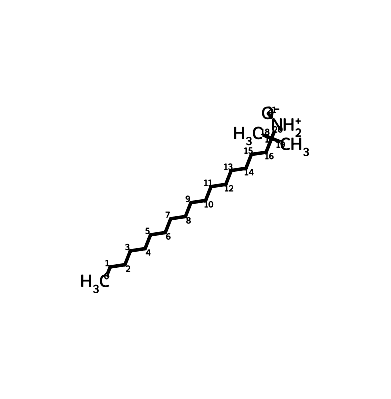 CCCCCCCCCCCCCCCCCC(C)(C)[NH2+][O-]